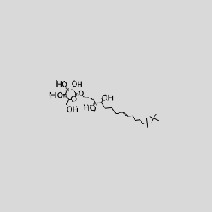 CC(C)(C)CC(C)(C)CCCCC=CCCCC(O)[C@@H](O)CCO[C@@H]1OC(CO)[C@@H](O)[C@H](O)C1O